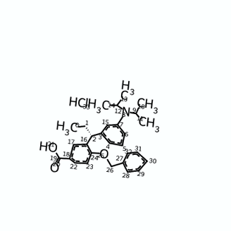 CC[C@H](c1cccc(N(C(C)C)C(C)C)c1)c1cc(C(=O)O)ccc1OCc1ccccc1.Cl